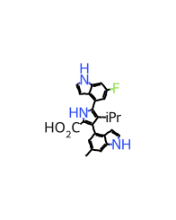 Cc1cc(-c2c(C(=O)O)[nH]c(-c3cc(F)cc4[nH]ccc34)c2C(C)C)c2cc[nH]c2c1